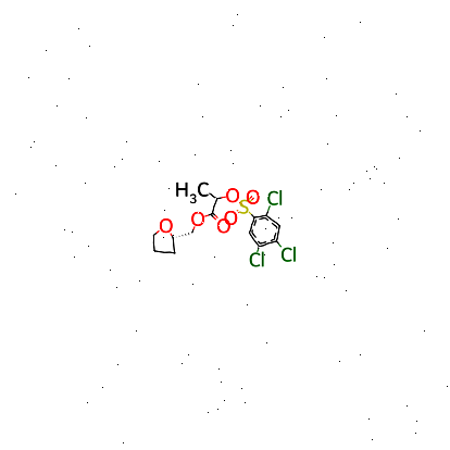 CC(OS(=O)(=O)c1cc(Cl)c(Cl)cc1Cl)C(=O)OC[C@@H]1CCCO1